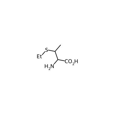 CCSC(C)C(N)C(=O)O